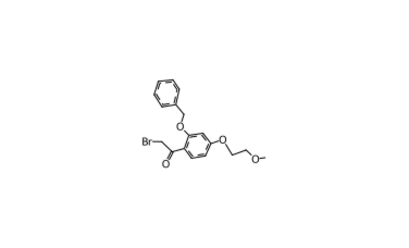 COCCOc1ccc(C(=O)CBr)c(OCc2ccccc2)c1